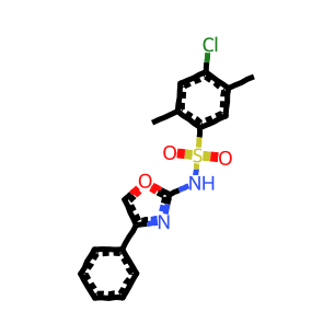 Cc1cc(S(=O)(=O)Nc2nc(-c3ccccc3)co2)c(C)cc1Cl